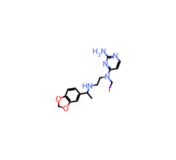 CC(NCCN(CI)c1ccnc(N)n1)c1ccc2c(c1)OCO2